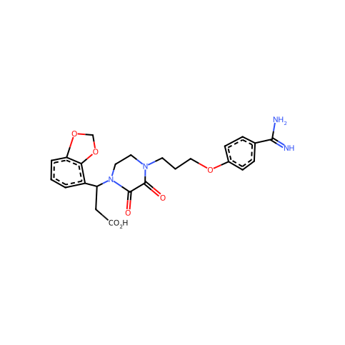 N=C(N)c1ccc(OCCCN2CCN(C(CC(=O)O)c3cccc4c3OCO4)C(=O)C2=O)cc1